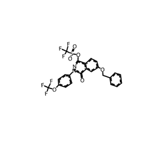 O=c1c2cc(OCc3ccccc3)ccc2c(OS(=O)(=O)C(F)(F)F)nn1-c1ccc(OC(F)(F)F)cc1